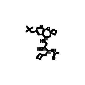 CC(=O)N[C@@H](CC1CCC1)[C@@H](O)CN[C@H]1CC2(CCC2)Oc2ncc(CC(C)(C)C)cc21